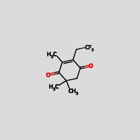 CC1=C(CC(F)(F)F)C(=O)CC(C)(C)C1=O